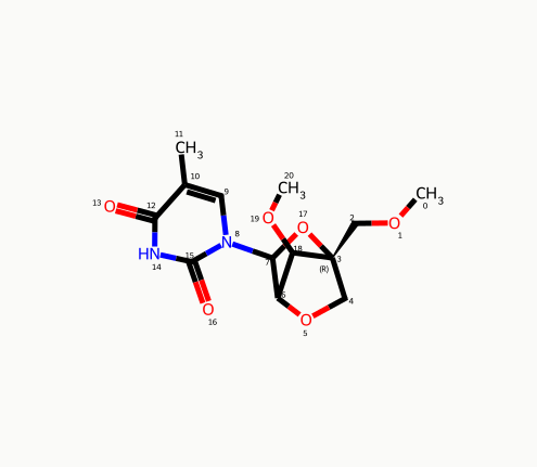 COC[C@]12COC(C(n3cc(C)c(=O)[nH]c3=O)O1)C2OC